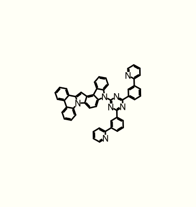 c1ccc(-c2cccc(-c3nc(-c4cccc(-c5ccccn5)c4)nc(-n4c5ccccc5c5c6cc7c8ccccc8c8ccccc8n7c6ccc54)n3)c2)nc1